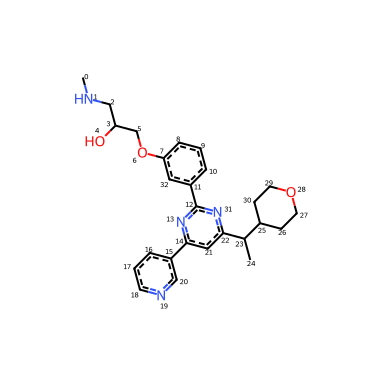 CNCC(O)COc1cccc(-c2nc(-c3cccnc3)cc(C(C)C3CCOCC3)n2)c1